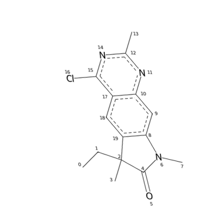 CCC1(C)C(=O)N(C)c2cc3nc(C)nc(Cl)c3cc21